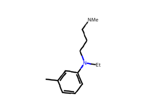 CCN(CCCNC)c1cccc(C)c1